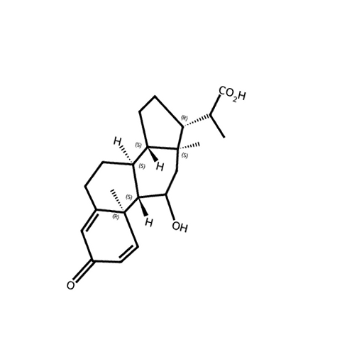 CC(C(=O)O)[C@H]1CC[C@H]2[C@@H]3CCC4=CC(=O)C=C[C@]4(C)[C@H]3C(O)C[C@]12C